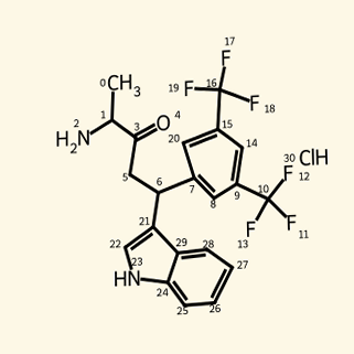 CC(N)C(=O)CC(c1cc(C(F)(F)F)cc(C(F)(F)F)c1)c1c[nH]c2ccccc12.Cl